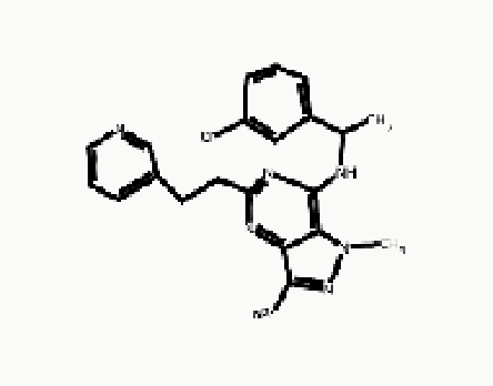 CCCc1nn(C)c2c(NC(C)c3cccc(Cl)c3)nc(CCc3cccnc3)nc12